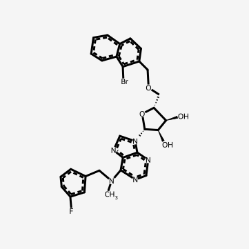 CN(Cc1cccc(F)c1)c1ncnc2c1ncn2[C@@H]1O[C@H](COCc2ccc3ccccc3c2Br)[C@@H](O)[C@H]1O